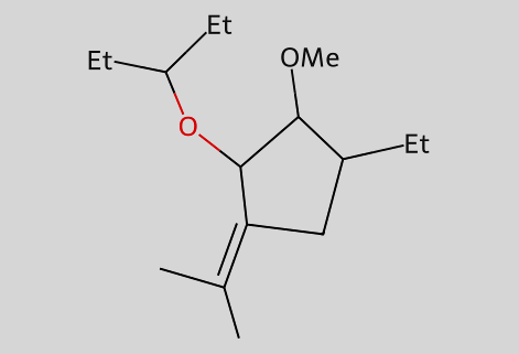 CCC(CC)OC1C(=C(C)C)CC(CC)C1OC